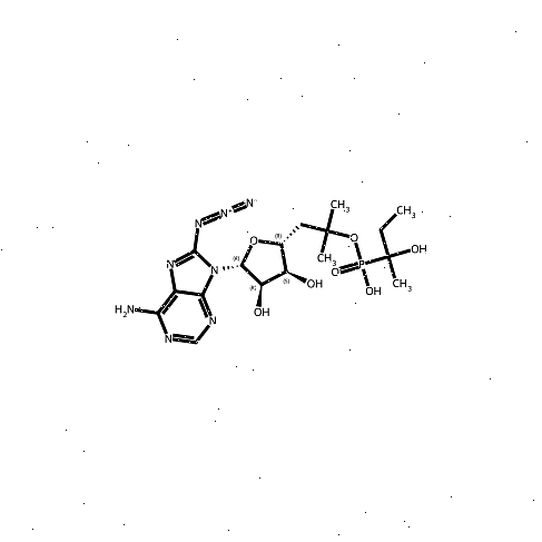 CCC(C)(O)P(=O)(O)OC(C)(C)C[C@H]1O[C@@H](n2c(N=[N+]=[N-])nc3c(N)ncnc32)[C@H](O)[C@@H]1O